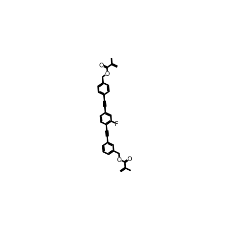 C=C(C)C(=O)OCc1ccc(C#Cc2ccc(C#Cc3cccc(COC(=O)C(=C)C)c3)c(F)c2)cc1